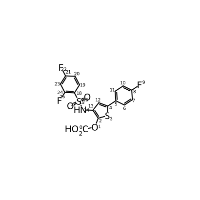 O=C(O)Oc1sc(-c2ccc(F)cc2)cc1NS(=O)(=O)c1ccc(F)cc1F